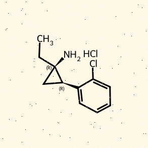 CC[C@@]1(N)C[C@@H]1c1ccccc1Cl.Cl